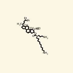 CC[C@H](CC[C@@H](C)C1CCC2C3CC=C4CC(OC(=O)N(CCCN)CCCCCCCCCCN)CCC4(C)C3CCC21C)C(C)C.Cl.Cl